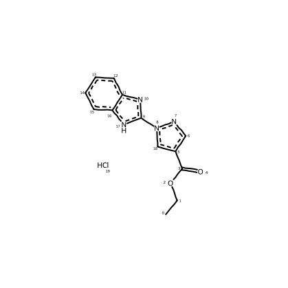 CCOC(=O)c1cnn(-c2nc3ccccc3[nH]2)c1.Cl